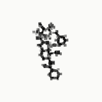 Cc1c(NC(=O)c2ccccc2)ccc2nc(NC(C)(C)C(=O)N(C)CCc3ccccn3)oc(=O)c12